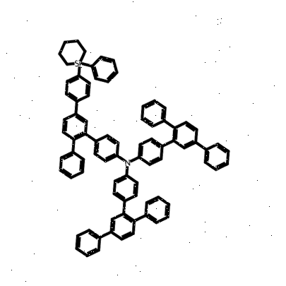 c1ccc(-c2ccc(-c3ccccc3)c(-c3ccc(N(c4ccc(-c5cc(-c6ccccc6)ccc5-c5ccccc5)cc4)c4ccc(-c5cc(-c6ccc([Si]7(c8ccccc8)CCCCC7)cc6)ccc5-c5ccccc5)cc4)cc3)c2)cc1